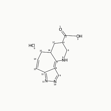 Cl.O=C(O)C1CNC2=C3C=NN=C3C=CCC2C1